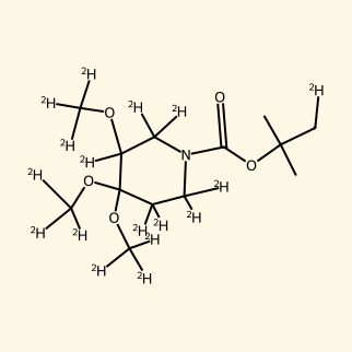 [2H]CC(C)(C)OC(=O)N1C([2H])([2H])C([2H])([2H])C(OC([2H])([2H])[2H])(OC([2H])([2H])[2H])C([2H])(OC([2H])([2H])[2H])C1([2H])[2H]